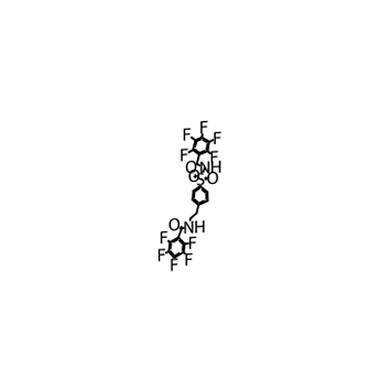 O=C(NCCc1ccc(S(=O)(=O)NC(=O)c2c(F)c(F)c(F)c(F)c2F)cc1)c1c(F)c(F)c(F)c(F)c1F